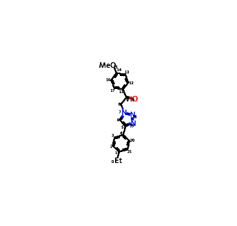 CCc1ccc(-c2cn(CC(=O)c3ccc(OC)cc3)nn2)cc1